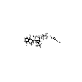 COCOCCN1CCN(C(=O)c2cc(C(C)(C)C)sc2NC(=O)Nc2cccc(Cl)c2Cl)C(C)(C)C1=O